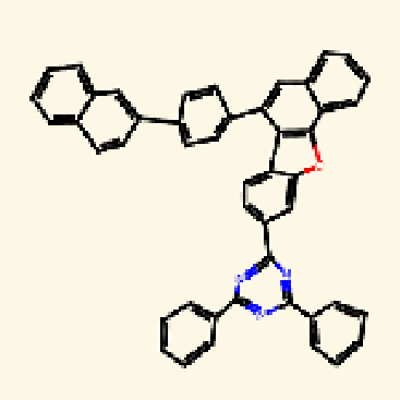 c1ccc(-c2nc(-c3ccccc3)nc(-c3ccc4c(c3)oc3c5ccccc5cc(-c5ccc(-c6ccc7ccccc7c6)cc5)c43)n2)cc1